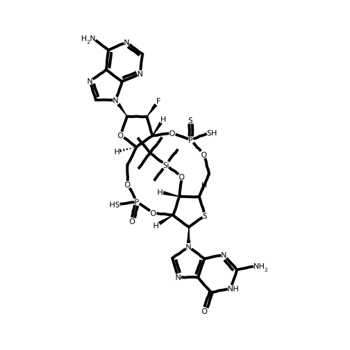 CC(C)(C)[Si](C)(C)O[C@H]1[C@H]2OP(=O)(S)OC[C@H]3O[C@@H](n4cnc5c(N)ncnc54)[C@@H](F)[C@@H]3OP(=S)(S)OC[C@H]1S[C@H]2n1cnc2c(=O)[nH]c(N)nc21